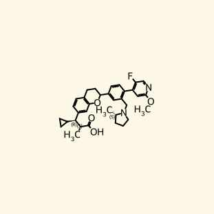 COc1cc(-c2ccc(C3CCc4ccc([C@H](C5CC5)[C@H](C)C(=O)O)cc4O3)cc2CN2CCC[C@@H]2C)c(F)cn1